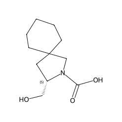 O=C(O)N1CC2(CCCCC2)C[C@H]1CO